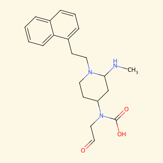 CNC1CC(N(CC=O)C(=O)O)CCN1CCc1cccc2ccccc12